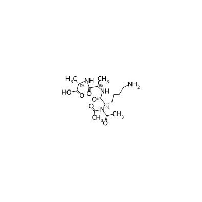 CC(=O)N(C(C)=O)[C@@H](CCCCN)C(=O)N[C@H](C)C(=O)N[C@@H](C)C(=O)O